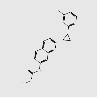 Cc1ccnc([C@H]2C[C@@H]2c2ccc3ccc(NC(=O)OC(C)(C)C)cc3n2)n1